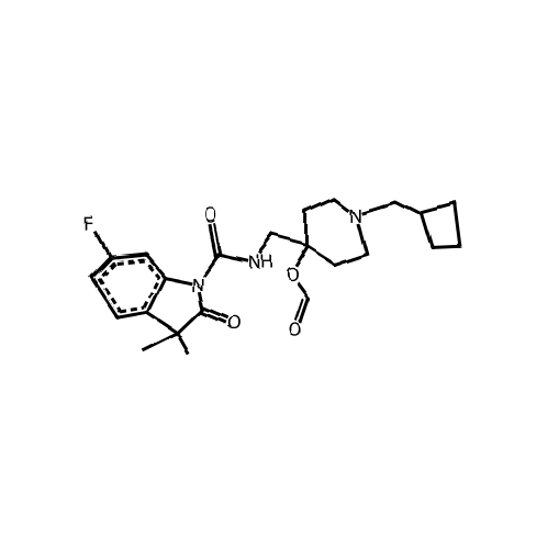 CC1(C)C(=O)N(C(=O)NCC2(OC=O)CCN(CC3CCC3)CC2)c2cc(F)ccc21